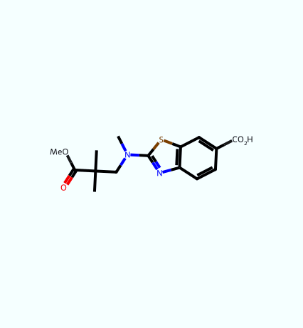 COC(=O)C(C)(C)CN(C)c1nc2ccc(C(=O)O)cc2s1